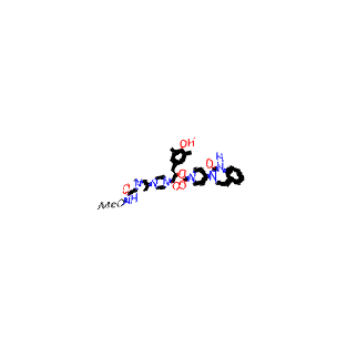 CONC(=O)CN(C)CC(C)N1CCN(C(=O)[C@@H](Cc2cc(C)c(O)c(C)c2)OC(=O)N2CCC(N3CCc4ccccc4NC3=O)CC2)CC1